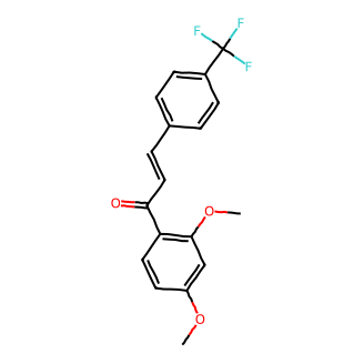 COc1ccc(C(=O)/C=C/c2ccc(C(F)(F)F)cc2)c(OC)c1